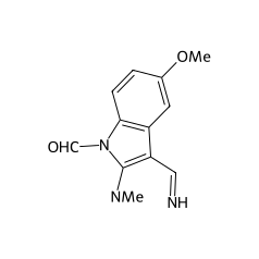 CNc1c(C=N)c2cc(OC)ccc2n1C=O